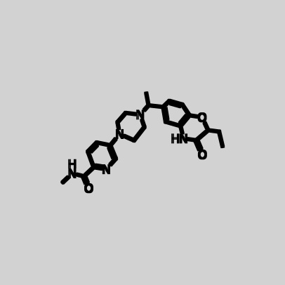 CCC1Oc2ccc(C(C)N3CCN(c4ccc(C(=O)NC)nc4)CC3)cc2NC1=O